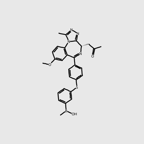 COc1ccc2c(c1)C(c1ccc(Sc3cccc(B(C)O)c3)cc1)=N[C@@H](CC(C)=O)c1nnc(C)n1-2